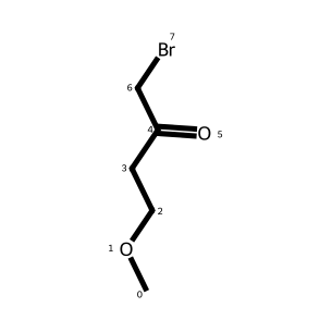 COCCC(=O)CBr